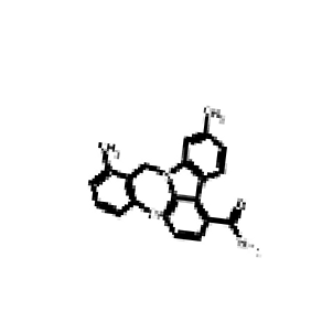 Cc1c[c]c2c3c(C(N)=O)cccc3n(Cc3c(C)cccc3C)c2c1